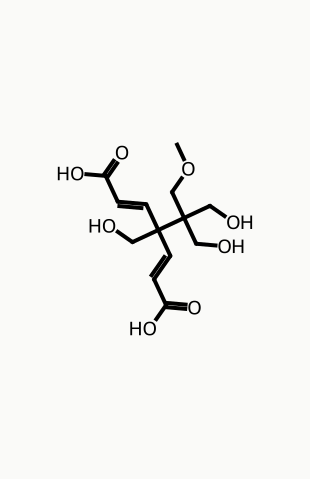 COCC(CO)(CO)C(C=CC(=O)O)(C=CC(=O)O)CO